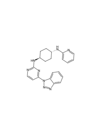 c1ccc(N[C@H]2CC[C@H](Nc3nccc(-n4nnc5ccccc54)n3)CC2)nc1